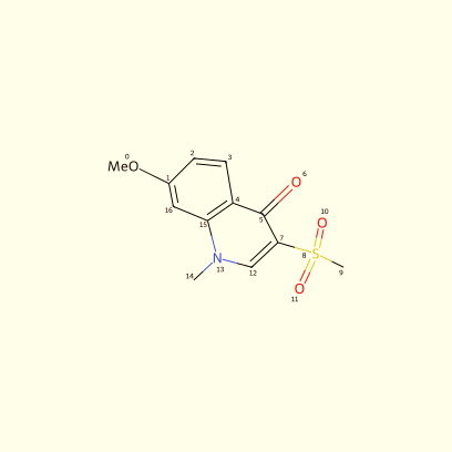 COc1ccc2c(=O)c(S(C)(=O)=O)cn(C)c2c1